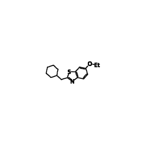 CCOc1ccc2nc(CC3CCCCC3)sc2c1